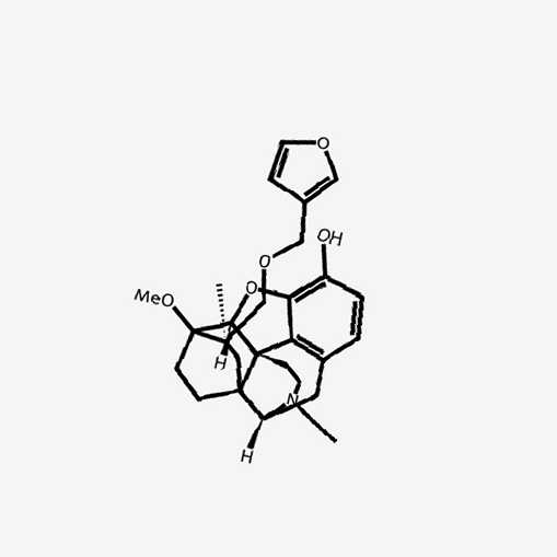 COC12CCC3(C[C@]1(C)COCc1ccoc1)[C@H]1Cc4ccc(O)c5c4[C@@]3(CCN1C)[C@H]2O5